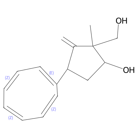 C=C1C(C2=C/C=C\C=C/C=C\2)CC(O)C1(C)CO